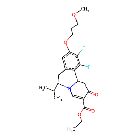 CCOC(=O)C1=CN2C(CC1=O)c1c(cc(OCCCOC)c(F)c1F)CC2C(C)C